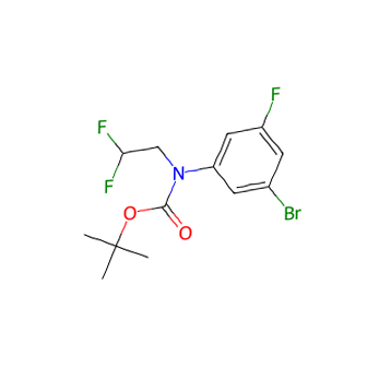 CC(C)(C)OC(=O)N(CC(F)F)c1cc(F)cc(Br)c1